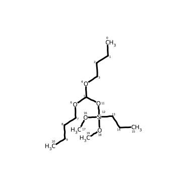 CCCCOC(OCCCC)O[Si](CCC)(OC)OC